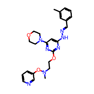 Cc1cccc(C=NNc2cc(N3CCOCC3)nc(OCCN(C)Oc3cccnc3)n2)c1